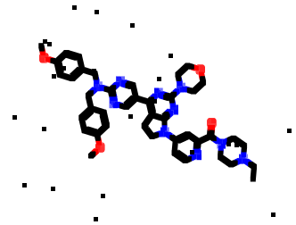 CCN1CCN(C(=O)c2cc(N3CCc4c(-c5cnc(N(Cc6ccc(OC)cc6)Cc6ccc(OC)cc6)nc5)nc(N5CCOCC5)nc43)ccn2)CC1